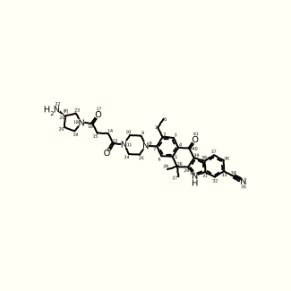 CCc1cc2c(cc1N1CCN(C(=O)CCC(=O)N3CC[C@@H](N)C3)CC1)C(C)(C)c1[nH]c3cc(C#N)ccc3c1C2=O